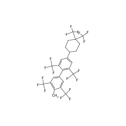 Cc1c(C(F)(F)F)cc(-c2c(C(F)(F)F)cc(C3CCC(C(F)(F)F)(C(F)(F)F)CC3)cc2C(F)(F)F)cc1C(F)(F)F